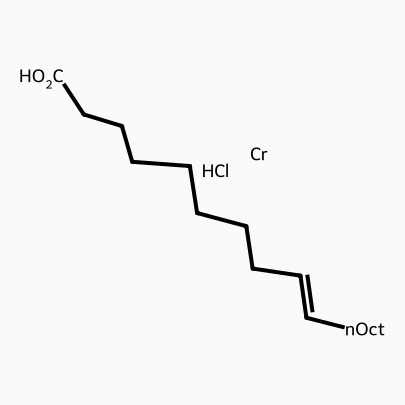 CCCCCCCCC=CCCCCCCCC(=O)O.Cl.[Cr]